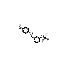 CSc1ccc(OCc2cccc(OC(F)(F)F)c2)cc1